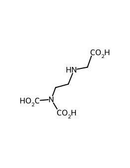 O=C(O)CNCCN(C(=O)O)C(=O)O